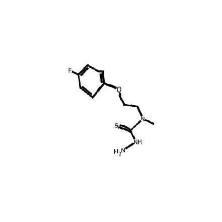 CN(CCOc1ccc(F)cc1)C(=S)NN